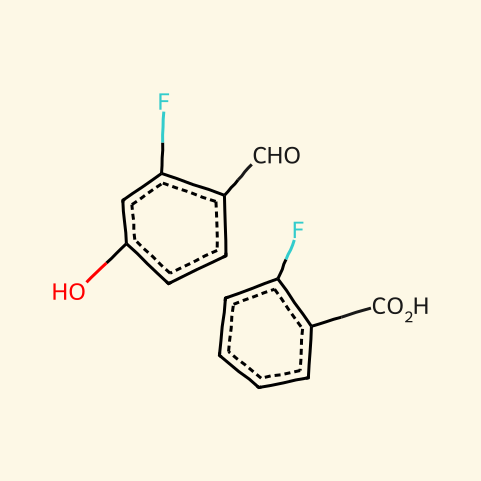 O=C(O)c1ccccc1F.O=Cc1ccc(O)cc1F